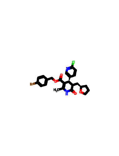 CC1=C(C(=O)OCc2ccc(Br)cc2)[C@H](c2ccc(Cl)nc2)C(C[C@H]2CCCO2)C(=O)N1